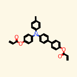 C=CC(=O)Oc1ccc(-c2ccc(N(c3ccc(C)cc3)c3ccc(OC(=O)C=C)cc3)cc2)cc1